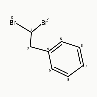 BrC(Br)Cc1cc[c]cc1